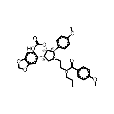 CCCN(CCN1C[C@H](c2ccc3c(c2)OCO3)[C@H](OC(=O)O)[C@H]1c1ccc(OC)cc1)C(=O)c1ccc(OC)cc1